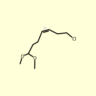 COC(CC/C=C\CCCl)OC